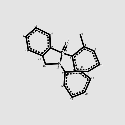 Cc1ccccc1P1(=O)c2ccccc2CN1c1ccccc1